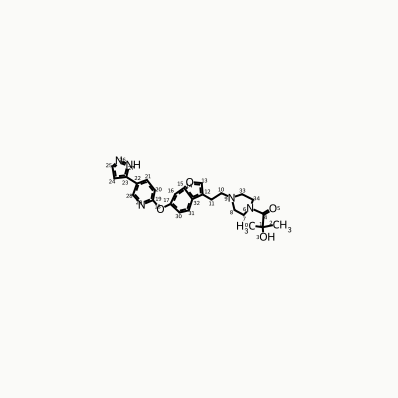 CC(C)(O)C(=O)N1CCN(CCc2coc3cc(Oc4ccc(-c5ccn[nH]5)cn4)ccc23)CC1